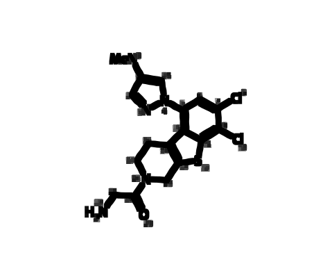 CNc1cnn(-c2cc(Cl)c(Cl)c3sc4c(c23)CCN(C(=O)CN)C4)c1